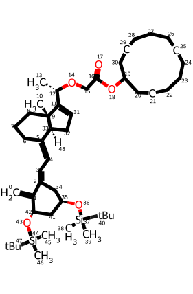 C=C1C(=CC=C2CCC[C@]3(C)C([C@H](C)OCC(=O)OC4CCCCCCCCCCC4)=CC[C@@H]23)C[C@@H](O[Si](C)(C)C(C)(C)C)C[C@@H]1O[Si](C)(C)C(C)(C)C